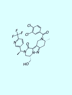 C[C@@H]1Cc2nn3c(c2CN1C(=O)c1ccc(Cl)c(Cl)c1)C(=O)N([C@@H](C)c1ccc(C(F)(F)F)nc1)C[C@H]3CO